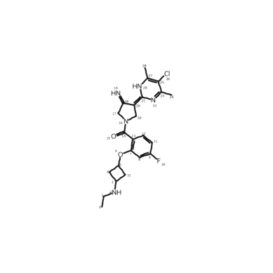 CCNC1CC(Oc2cc(F)ccc2C(=O)N2CC(=N)/C(=C3/N=C(C)C(Cl)=C(C)N3)C2)C1